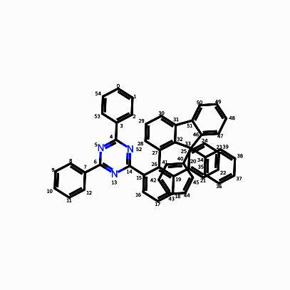 c1ccc(-c2nc(-c3ccccc3)nc(-c3cccc(-c4ccccc4)c3-c3cccc4c3C(c3ccccc3)(c3ccccc3)c3ccccc3-4)n2)cc1